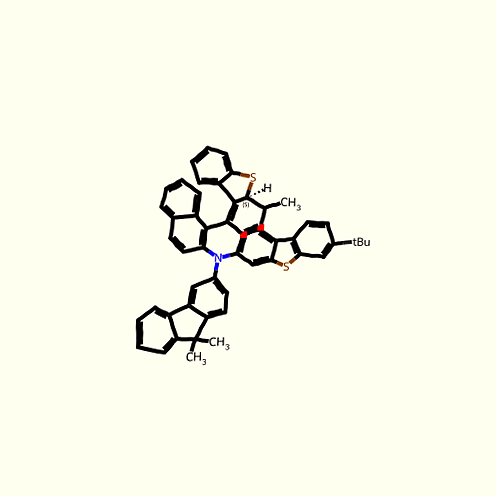 CC1C=CC(c2c(N(c3ccc4c(c3)-c3ccccc3C4(C)C)c3ccc4c(c3)sc3cc(C(C)(C)C)ccc34)ccc3ccccc23)=C2c3ccccc3S[C@H]21